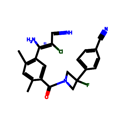 Cc1cc(C)c(/C(N)=C(\Cl)C=N)cc1C(=O)N1CC(F)(c2ccc(C#N)cc2)C1